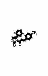 O=C(C=Cc1ccc(C(F)(F)F)cc1)N1C(=O)OCC1c1ccccc1